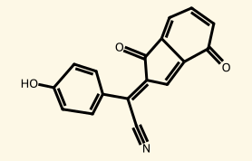 N#CC(=C1C=C2C(=O)C=CC=C2C1=O)c1ccc(O)cc1